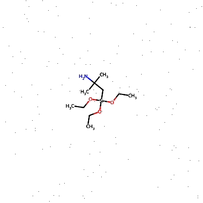 CCO[Si](CC(C)(C)N)(OCC)OCC